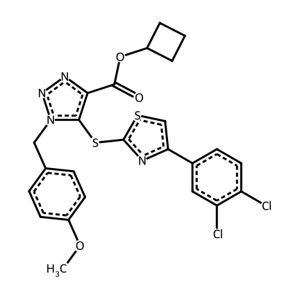 COc1ccc(Cn2nnc(C(=O)OC3CCC3)c2Sc2nc(-c3ccc(Cl)c(Cl)c3)cs2)cc1